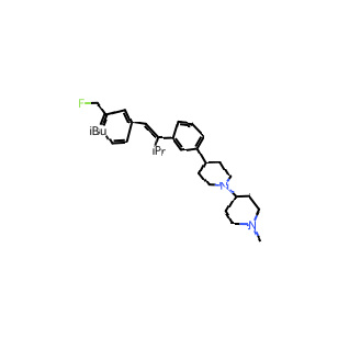 C=C(/C=C(\C=C/C(C)CC)/C=C(/c1cccc(C2CCN(C3CCN(C)CC3)CC2)c1)C(C)C)CF